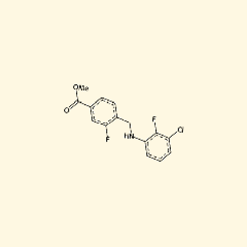 COC(=O)c1ccc(CNc2cccc(Cl)c2F)c(F)c1